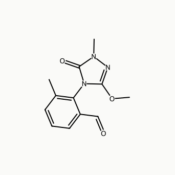 COc1nn(C)c(=O)n1-c1c(C)cccc1C=O